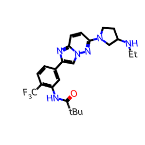 CCNC1CCN(c2ccc3nc(-c4ccc(C(F)(F)F)c(NC(=O)C(C)(C)C)c4)cn3n2)C1